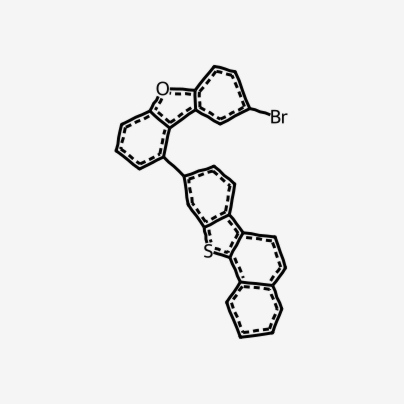 Brc1ccc2oc3cccc(-c4ccc5c(c4)sc4c6ccccc6ccc54)c3c2c1